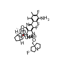 Cc1c(F)c(N)c(F)c(-c2nc3c4c(nc(OC[C@@]56CCCN5C[C@H](F)C6)nc4c2F)N2C[C@H]4CC[C@@H]([C@H]2[C@H](C)O3)N4C(=O)OC(C)(C)C)c1I